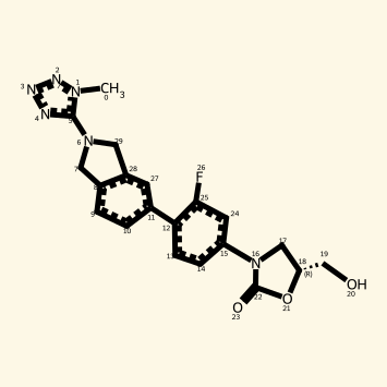 Cn1nnnc1N1Cc2ccc(-c3ccc(N4C[C@H](CO)OC4=O)cc3F)cc2C1